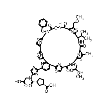 CNC(=O)C[C@@H]1NC(=O)c2csc(n2)-c2ccc(-c3nc(N(CC(=O)O)C(=O)[C@@H]4CC[C@@H](C(=O)O)C4)cs3)nc2-c2csc(n2)-c2csc(n2)[C@H](Cc2ccccc2)NC(=O)CNC(=O)c2nc(sc2COC)C(C(C)C)NC(=O)c2nc1sc2C